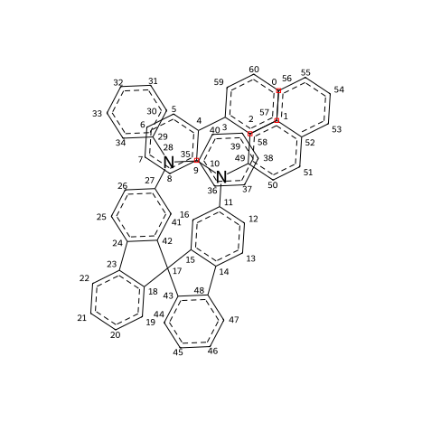 c1ccc(-c2ccccc2N(c2ccc3c(c2)C2(c4ccccc4-c4ccc(N(c5ccccc5)c5ccccc5)cc42)c2ccccc2-3)c2ccc3ccccc3c2)cc1